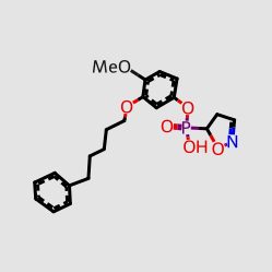 COc1ccc(OP(=O)(O)C2CC=NO2)cc1OCCCCCc1ccccc1